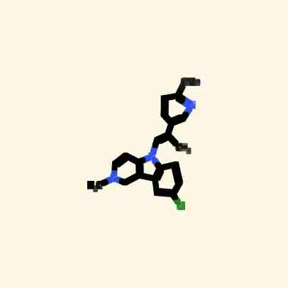 COc1ccc(C(C)=Cn2c3c(c4cc(Cl)ccc42)CN(C)C=C3)cn1